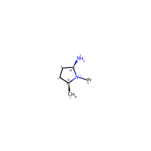 CC(C)N1[C@H](N)CC[C@@H]1C